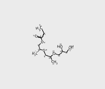 CCC(=O)OCC(C)OCC(C)OCC(O)CO